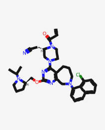 C=CC(=O)N1CCN(c2nc(OC[C@H]3CCCN3C(C)C)nc3c2CCCN(c2cccc4cccc(Cl)c24)C3)C[C@@H]1CC#N